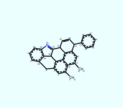 Cc1cc2c3c4c5c(cc(C)c14)C(c1ccccc1)C=CC5C1=Nc4cccc(c4C13)C2